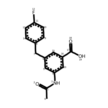 CC(=O)Nc1cc(Cc2ccc(F)cc2)cc(C(=O)O)c1